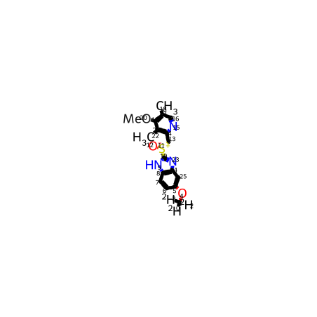 [2H]C([2H])([2H])Oc1ccc2[nH]c([S+]([O-])Cc3ncc(C)c(OC)c3C)nc2c1